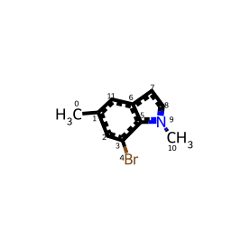 Cc1cc(Br)c2c(ccn2C)c1